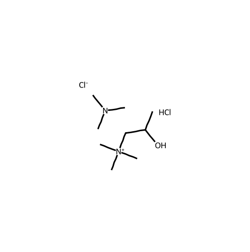 CC(O)C[N+](C)(C)C.CN(C)C.Cl.[Cl-]